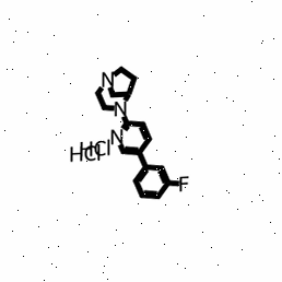 Cl.Cl.Fc1cccc(-c2ccc(N3CCN4CCC3C4)nc2)c1